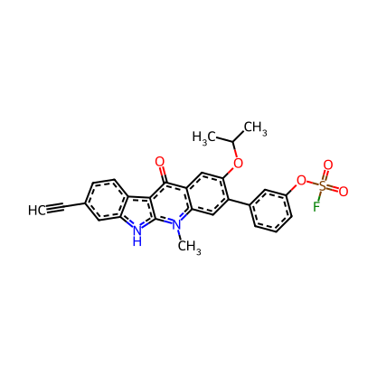 C#Cc1ccc2c(c1)[nH]c1c2c(=O)c2cc(OC(C)C)c(-c3cccc(OS(=O)(=O)F)c3)cc2n1C